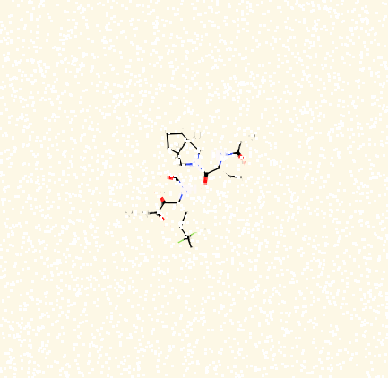 CNC(=O)C(=O)[C@H](CCC(C)(F)F)NC(=O)[C@@H]1[C@H]2CCC[C@H]2CN1C(=O)[C@H](CC(F)(F)F)NC(=O)OC